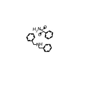 NS(=O)(=O)c1ccccc1.c1ccc(CNCc2ccccc2)cc1